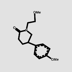 COCCN1CC(c2ccc(OC)cc2)CCC1=O